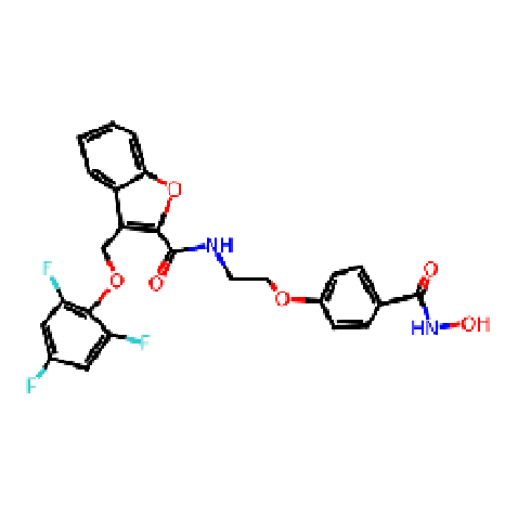 O=C(NO)c1ccc(OCCNC(=O)c2oc3ccccc3c2COc2c(F)cc(F)cc2F)cc1